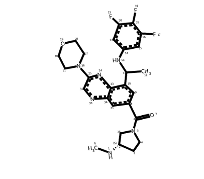 CN[C@H]1CCN(C(=O)c2cc(C(C)Nc3cc(F)c(F)c(F)c3)c3nc(N4CCOCC4)cnc3c2)C1